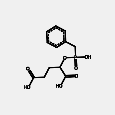 O=C(O)CCC(OP(=O)(O)Cc1ccccc1)C(=O)O